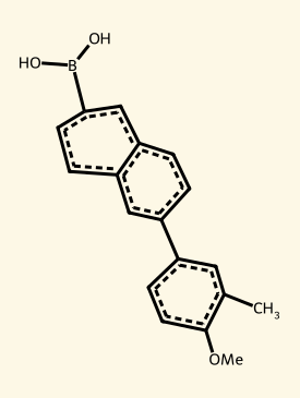 COc1ccc(-c2ccc3cc(B(O)O)ccc3c2)cc1C